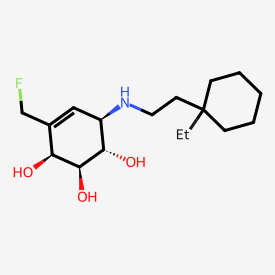 CCC1(CCN[C@@H]2C=C(CF)[C@H](O)[C@H](O)[C@H]2O)CCCCC1